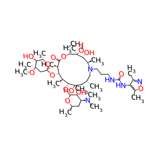 CC[C@H]1OC(=O)[C@H](C)[C@@H](O[C@H]2C[C@@](C)(OC)[C@@H](O)[C@H](C)O2)[C@H](C)[C@@H](O[C@@H]2O[C@H](C)C[C@H](N(C)C)[C@H]2O)[C@](C)(O)C[C@@H](C)CN(CCCNC(=O)Nc2c(C)noc2C)[C@H](C)[C@@H](O)[C@]1(C)O